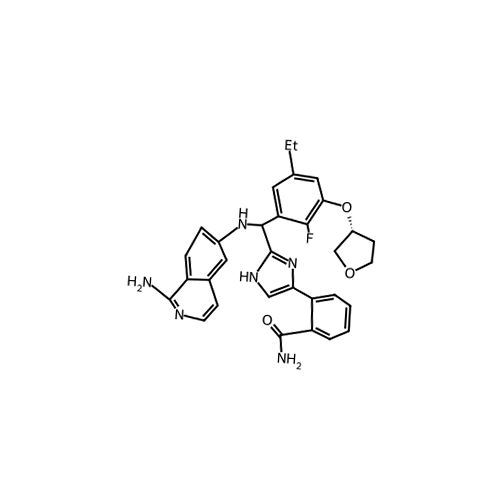 CCc1cc(O[C@@H]2CCOC2)c(F)c(C(Nc2ccc3c(N)nccc3c2)c2nc(-c3ccccc3C(N)=O)c[nH]2)c1